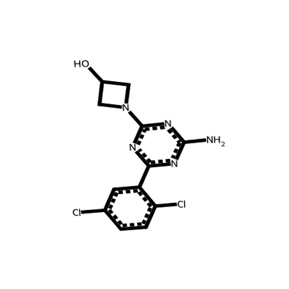 Nc1nc(-c2cc(Cl)ccc2Cl)nc(N2CC(O)C2)n1